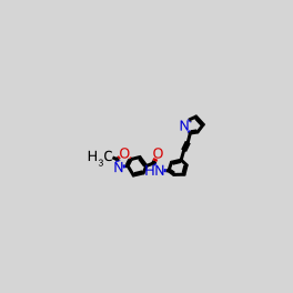 Cc1nc2ccc(C(=O)Nc3cccc(C#Cc4ccccn4)c3)cc2o1